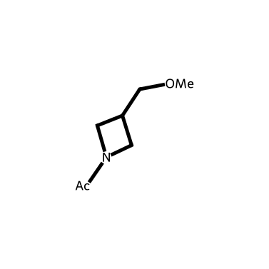 COCC1CN(C(C)=O)C1